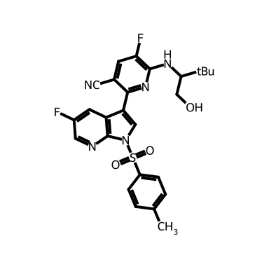 Cc1ccc(S(=O)(=O)n2cc(-c3nc(NC(CO)C(C)(C)C)c(F)cc3C#N)c3cc(F)cnc32)cc1